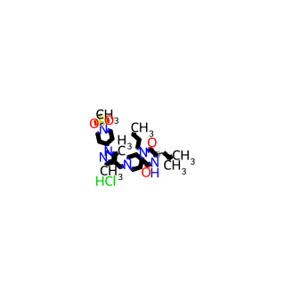 CCCCN1C(=O)[C@H](CC(C)C)NC(=O)C12CCN(Cc1c(C)nn(C3CCN(S(C)(=O)=O)CC3)c1C)CC2.Cl